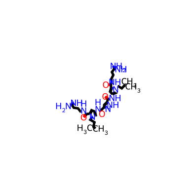 CC(C)CCn1cc(NC(=O)c2cc(C(=O)Nc3cc(C(=O)NCCCC(=N)N)n(CCC(C)C)c3)[nH]n2)cc1C(=O)NCCCC(=N)N